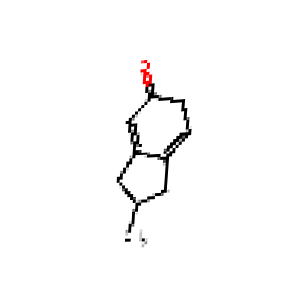 CC1CC2=CCC(=O)C=C2C1